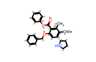 COc1c([C@@H]2CCCN2)cc(OCc2ccccc2)c(C(=O)Oc2ccccc2)c1C